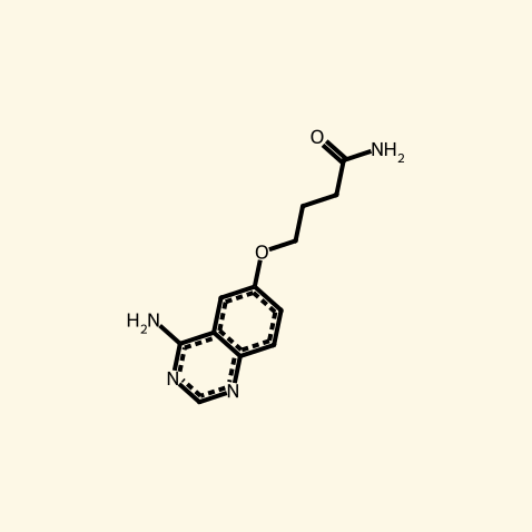 NC(=O)CCCOc1ccc2ncnc(N)c2c1